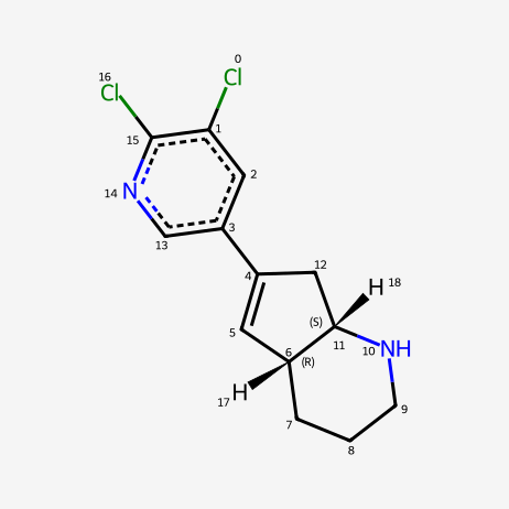 Clc1cc(C2=C[C@H]3CCCN[C@H]3C2)cnc1Cl